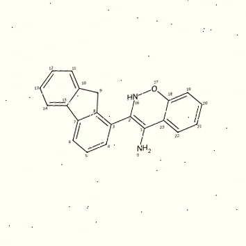 NC1=C(c2cccc3c2Cc2ccccc2-3)NOc2ccccc21